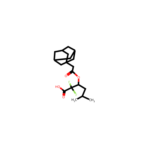 CC(C)CC(OC(=O)CC12CC3CC(CC(C3)C1)C2)C(F)(F)C(=O)O